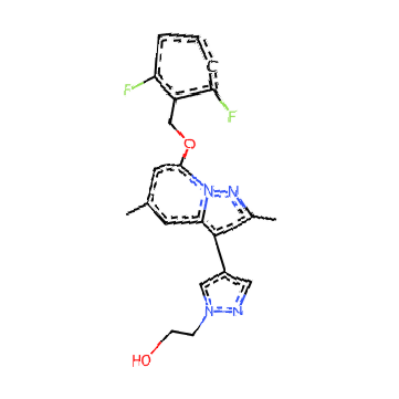 Cc1cc(OCc2c(F)cccc2F)n2nc(C)c(-c3cnn(CCO)c3)c2c1